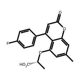 Cc1cc(O[C@H](C)C(=O)O)c2c(-c3ccc(F)cc3)cc(=O)oc2c1